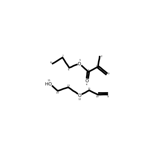 C=C(C)C(=O)OCCC.C=CCOCCO